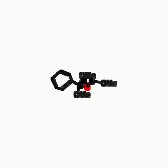 CO[SiH2]O[Si](OC)(OC)c1ccccc1